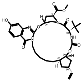 C=C[C@@H]1C[C@H]2CCCCCn3c(nc4cc(O)ccc4c3=O)O[C@@H]3C[C@@H](C(=O)OC)N(C3)C(=O)[C@H](C(C)(C)C)NC(=O)O[C@@H]2C1